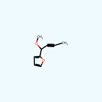 CC#CC(OC)c1ccco1